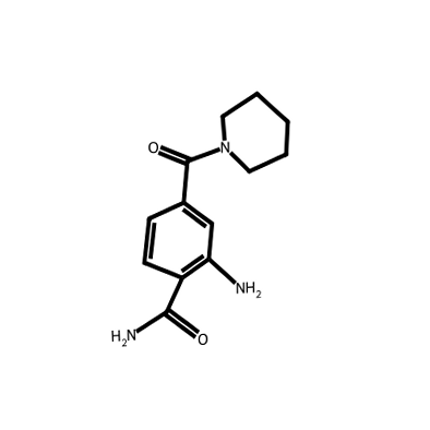 NC(=O)c1ccc(C(=O)N2CCCCC2)cc1N